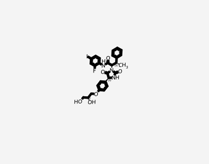 C[C@@H](c1ccccc1)[C@@H](C(=O)Nc1ccc(I)cc1F)N1C(=O)N[C@@H](c2ccc(OC[C@H](O)CO)cc2)C1=O